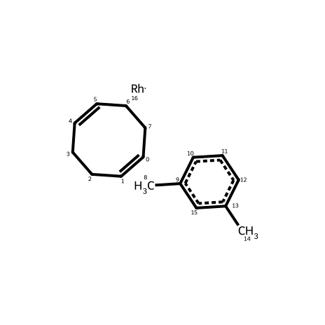 C1=C\CC/C=C\CC/1.Cc1cccc(C)c1.[Rh]